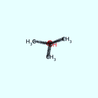 CCCCCCCCCCCCCCCCCCOC(=O)C(O)(CCCCCCCCCCCCCCCC)C(=O)CCCCCCCCCCCCCCCCC